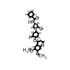 COc1cc2nccc(Oc3ccc(N4CC(NC(=O)c5ccccc5)CC4=O)cc3F)c2cc1OC